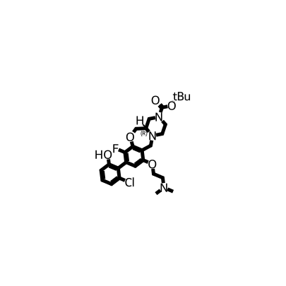 CN(C)CCOc1cc(-c2c(O)cccc2Cl)c(F)c2c1CN1CCN(C(=O)OC(C)(C)C)C[C@@H]1CO2